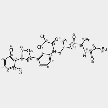 CC(C)C(CN(C(=O)C(Cl)Cl)c1cccc(-c2cc(-c3c(Cl)cccc3Cl)no2)c1)NC(=O)C(NC(=O)OC(C)(C)C)C(C)C